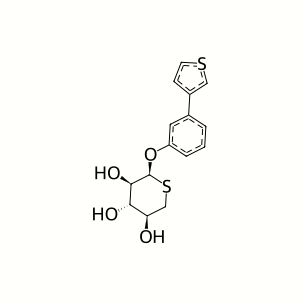 O[C@@H]1[C@@H](O)[C@@H](Oc2cccc(-c3ccsc3)c2)SC[C@H]1O